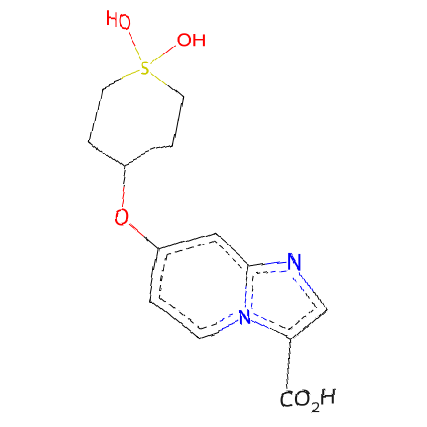 O=C(O)c1cnc2cc(OC3CCS(O)(O)CC3)ccn12